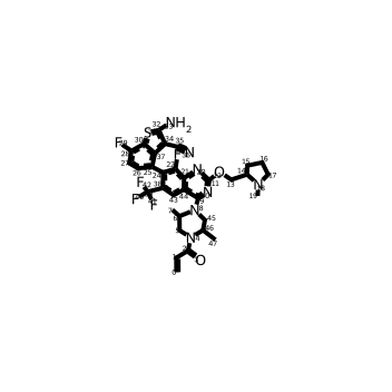 C=CC(=O)N1CC(C)N(c2nc(OCC3CCCN3C)nc3c(F)c(-c4ccc(F)c5sc(N)c(C#N)c45)c(C(F)(F)F)cc23)CC1C